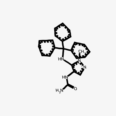 Cn1ncc(NC(N)=O)c1NC(c1ccccc1)(c1ccccc1)c1ccccc1